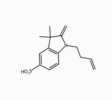 C=CCCN1C(=C)C(C)(C)c2cc(S(=O)(=O)O)ccc21